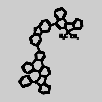 CC1(C)c2ccccc2-c2c1cc(-c1ccc3sc4ccc(-c5ccc6c(c5)c5ccccc5c5c6ccc6c7ccccc7n(-c7ccccc7)c65)cc4c3c1)c1ccccc21